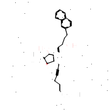 CC1(C)C(=O)[C@H](CC#CCCCC(=O)O)[C@@H](/C=C/[C@@H](O)CCc2ccc3ccccc3c2)[C@@H]1O